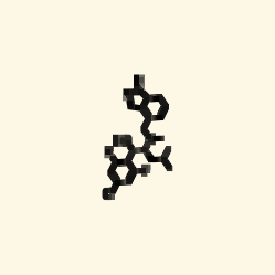 CC(C)C[C@@H](C(O)c1c(F)cc(Cl)cc1F)N(C)Cc1cccc2[nH]ncc12